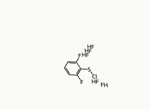 F.F.F.F.F.Fc1cccc(F)c1SCl